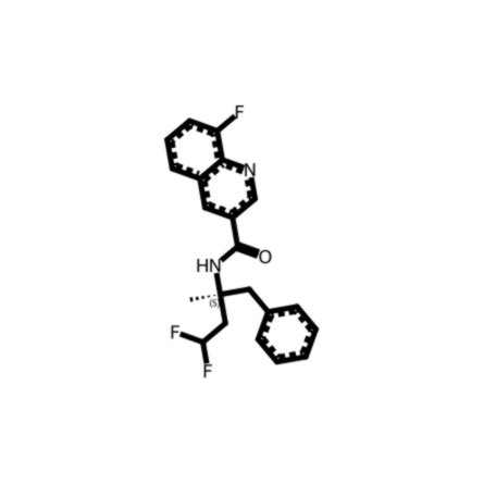 C[C@](Cc1ccccc1)(CC(F)F)NC(=O)c1cnc2c(F)cccc2c1